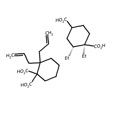 C=CCC1(CC=C)CCCCC1(C(=O)O)C(=O)O.CC[C@@H]1CC(C(=O)O)CC[C@@]1(CC)C(=O)O